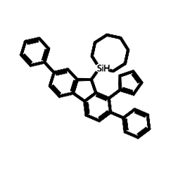 C1=CCC(c2c(-c3ccccc3)ccc3c2C([SiH]2CCCCCCC2)c2cc(-c4ccccc4)ccc2-3)=C1